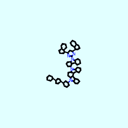 c1ccc(-c2ccc(-c3cccc(-n4c5ccccc5c5c6c7ccccc7n(-c7cccc8c7c7ccccc7n8-c7nc(-c8cccc9ccccc89)cc(-c8cccc9ccccc89)n7)c6ccc54)c3)cc2)cc1